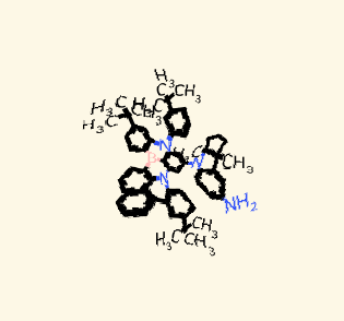 CC(C)(C)c1cccc(N2c3cc(C(C)(C)C)ccc3B3c4ccccc4N(c4ccc(C(C)(C)C)cc4-c4ccccc4)c4cc(N5c6ccc(N)cc6C6(C)CCCC56C)cc2c43)c1